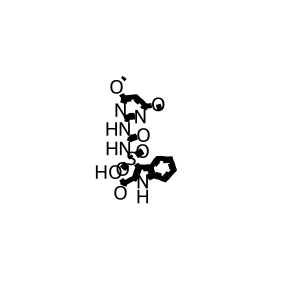 COc1cc(OC)nc(NC(=O)NS(=O)(=O)c2c(C(=O)O)[nH]c3ccccc23)n1